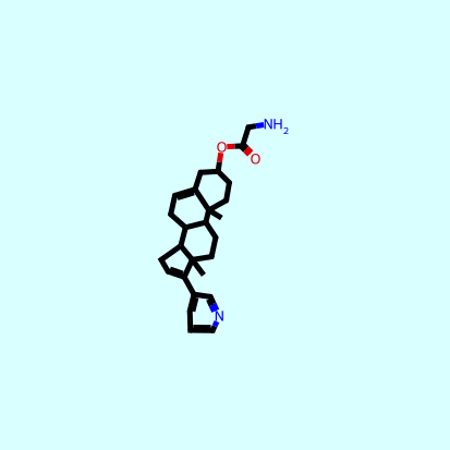 CC12CCC(OC(=O)CN)CC1=CCC1C2CCC2(C)C(c3cccnc3)=CCC12